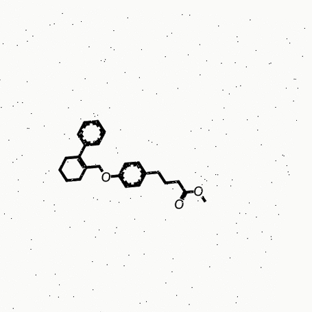 COC(=O)CCCc1ccc(OCC2=C(c3ccccc3)CCCC2)cc1